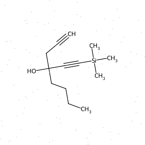 C#CCC(O)(C#C[Si](C)(C)C)CCCC